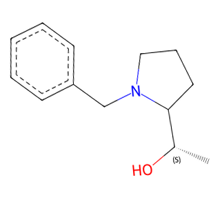 C[C@H](O)C1CCCN1Cc1ccccc1